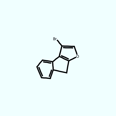 Brc1coc2c1-c1ccccc1C2